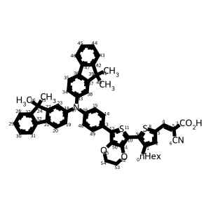 CCCCCCc1cc(/C=C(\C#N)C(=O)O)sc1-c1sc(-c2ccc(N(c3ccc4c(c3)C(C)(C)c3ccccc3-4)c3ccc4c(c3)C(C)(C)c3ccccc3-4)cc2)c2c1OCCO2